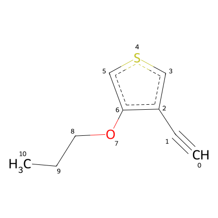 C#Cc1cscc1OCCC